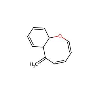 C=C1/C=C\C=C/OC2C=CC=CC12